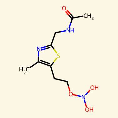 CC(=O)NCc1nc(C)c(CCON(O)O)s1